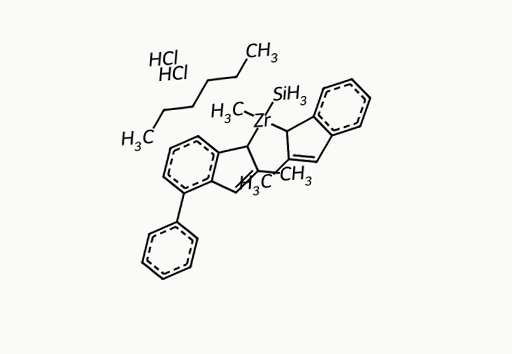 CC1=Cc2ccccc2[CH]1[Zr]([CH3])([SiH3])[CH]1C(C)=Cc2c(-c3ccccc3)cccc21.CCCCCC.Cl.Cl